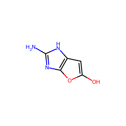 Nc1nc2oc(O)cc2[nH]1